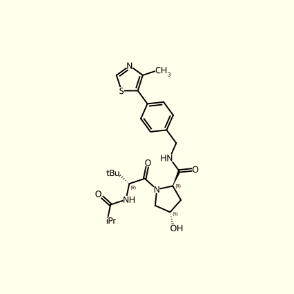 Cc1ncsc1-c1ccc(CNC(=O)[C@H]2C[C@H](O)CN2C(=O)[C@H](NC(=O)C(C)C)C(C)(C)C)cc1